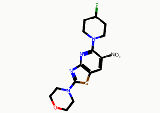 O=[N+]([O-])c1cc2sc(N3CCOCC3)nc2nc1N1CCC(F)CC1